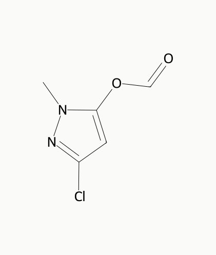 Cn1nc(Cl)cc1OC=O